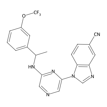 CC(Nc1cncc(-n2cnc3cc(C#N)ccc32)n1)c1cccc(OC(F)(F)F)c1